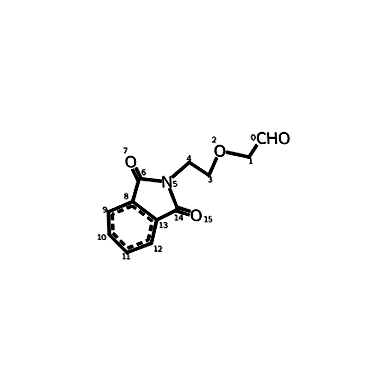 O=CCOCCN1C(=O)c2ccccc2C1=O